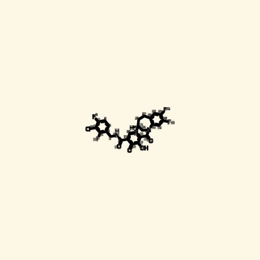 O=C(NCc1ccc(F)c(Cl)c1F)c1cn2c(c(O)c1=O)C(=O)N1C[C@@H]2CCc2cc(F)c(F)cc21